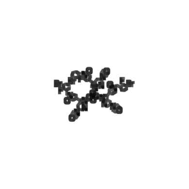 O=c1cc(-c2cn(COP(=O)(OCn3cc(-c4ccn(Cc5cccc(Br)c5F)c(=O)c4)c4cc(N5CCOCC5)cnc43)OCn3cc(-c4ccn(Cc5cccc(Br)c5F)c(=O)c4)c4cc(N5CCOCC5)cnc43)c3ncc(N4CCOCC4)cc23)ccn1Cc1cccc(Br)c1F